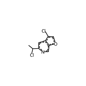 CC(Cl)c1cc2c(Cl)coc2cn1